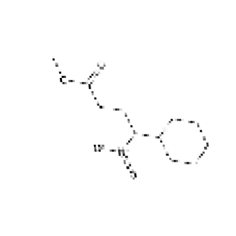 COC(=O)CCC(C1CCCCC1)[N+](=O)[O-]